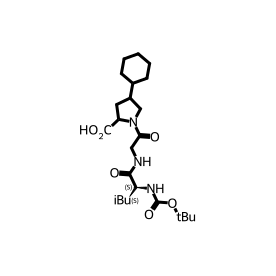 CC[C@H](C)[C@H](NC(=O)OC(C)(C)C)C(=O)NCC(=O)N1CC(C2CCCCC2)CC1C(=O)O